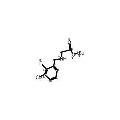 CC(C)(C)OC(=O)CNCc1cccc(Cl)c1F